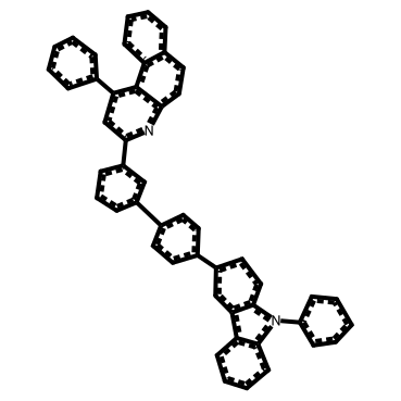 c1ccc(-c2cc(-c3cccc(-c4ccc(-c5ccc6c(c5)c5ccccc5n6-c5ccccc5)cc4)c3)nc3ccc4ccccc4c23)cc1